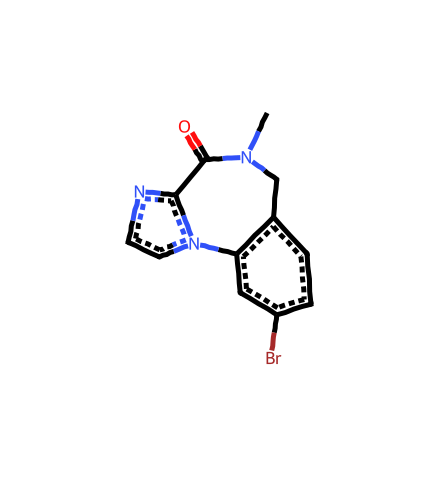 CN1Cc2ccc(Br)cc2-n2ccnc2C1=O